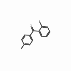 O=C(c1ccc(I)cc1)c1ccccc1I